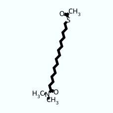 CC(=O)SCCCCCCCCCCCCCCCC(=O)N(C)C